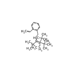 C=Cc1ccccc1CCN([Si](C)(C)C)[Si](C)(C(C)(C)C)C(C)(C)C